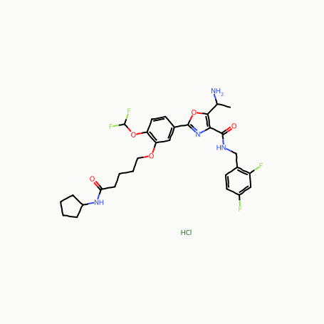 CC(N)c1oc(-c2ccc(OC(F)F)c(OCCCCC(=O)NC3CCCC3)c2)nc1C(=O)NCc1ccc(F)cc1F.Cl